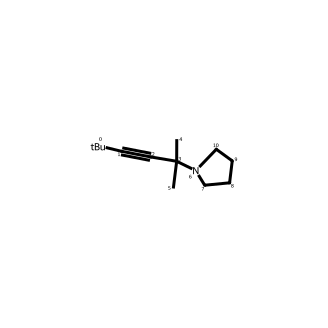 CC(C)(C)C#CC(C)(C)N1CCCC1